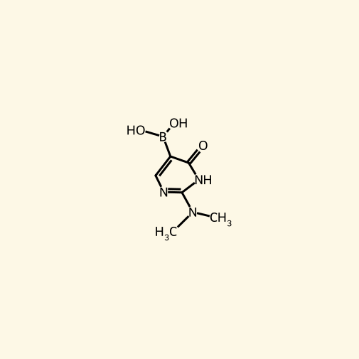 CN(C)c1ncc(B(O)O)c(=O)[nH]1